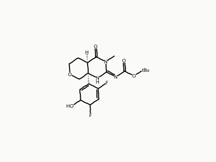 CN1C(=O)[C@@H]2CCOC[C@]2(C2=CC(O)C(F)C=C2F)NC1=NC(=O)OC(C)(C)C